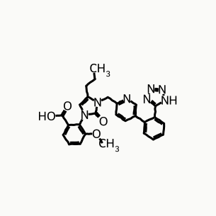 CCCc1cn(-c2c(OC)cccc2C(=O)O)c(=O)n1Cc1ccc(-c2ccccc2-c2nnn[nH]2)cn1